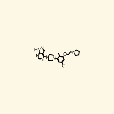 Cc1c(OCCN2CCCC2)cc(Cl)cc1N1CCN(c2ncnc3[nH]ncc23)CC1